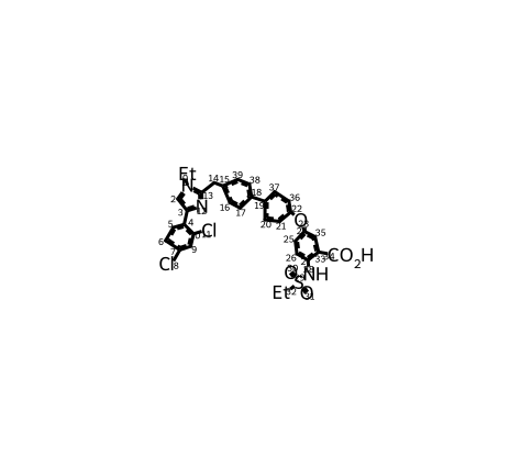 CCn1cc(-c2ccc(Cl)cc2Cl)nc1Cc1ccc(-c2ccc(Oc3ccc(NS(=O)(=O)CC)c(C(=O)O)c3)cc2)cc1